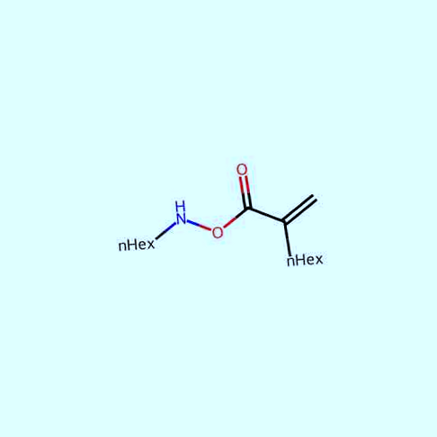 C=C(CCCCCC)C(=O)ONCCCCCC